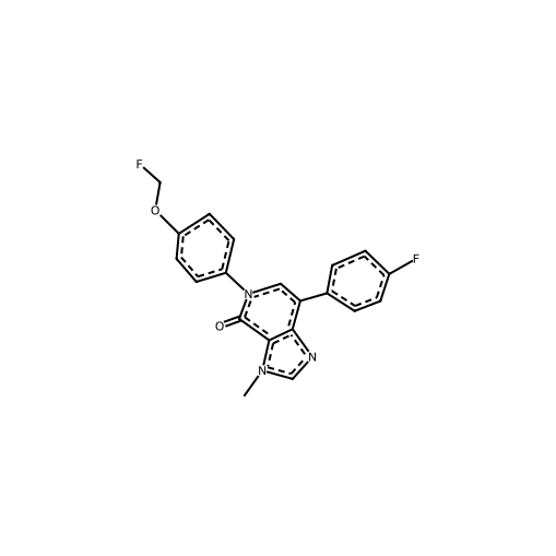 Cn1cnc2c(-c3ccc(F)cc3)cn(-c3ccc(OCF)cc3)c(=O)c21